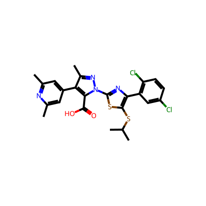 Cc1cc(-c2c(C)nn(-c3nc(-c4cc(Cl)ccc4Cl)c(SC(C)C)s3)c2C(=O)O)cc(C)n1